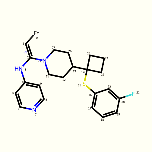 CC/C=C(/Nc1ccncc1)N1CCC(C2(Sc3cccc(F)c3)CCC2)CC1